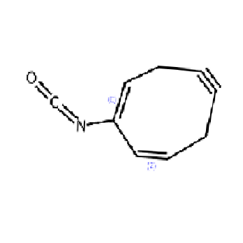 O=C=NC1=C/CC#CC/C=C\1